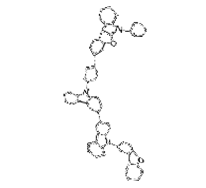 c1ccc(-n2c3ccccc3c3c4ccc(-c5ccc(-n6c7ccccc7c7cc(-c8ccc9c(c8)c8ccccc8n9-c8ccc9oc%10ccccc%10c9c8)ccc76)cc5)cc4oc32)cc1